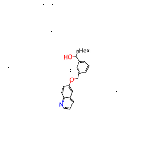 CCCCCCC(O)c1cccc(COc2ccc3ncccc3c2)c1